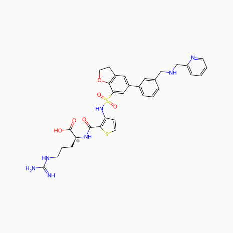 N=C(N)NCCC[C@H](NC(=O)c1sccc1NS(=O)(=O)c1cc(-c2cccc(CNCc3ccccn3)c2)cc2c1OCC2)C(=O)O